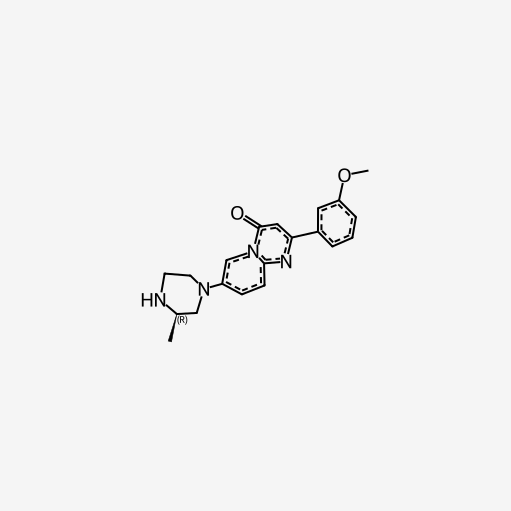 COc1cccc(-c2cc(=O)n3cc(N4CCN[C@H](C)C4)ccc3n2)c1